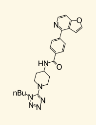 CCCCn1nnnc1N1CCC(NC(=O)c2ccc(-c3nccc4occc34)cc2)CC1